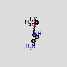 Cc1cccc(OCCCCC2CCc3c(cccc3-c3cccc(CN)c3)N2)c1C